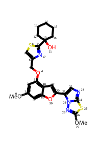 COc1cc(OCc2csc(C3(O)CCCCC3)n2)c2cc(-c3cnc4sc(OC)nn34)oc2c1